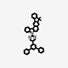 CC1(C)c2ccccc2-c2cc3c(ccc4c3c3ccccc3n4-c3ncc(-c4cc(-c5ccccc5)cc(-c5ccccc5)c4)cn3)cc21